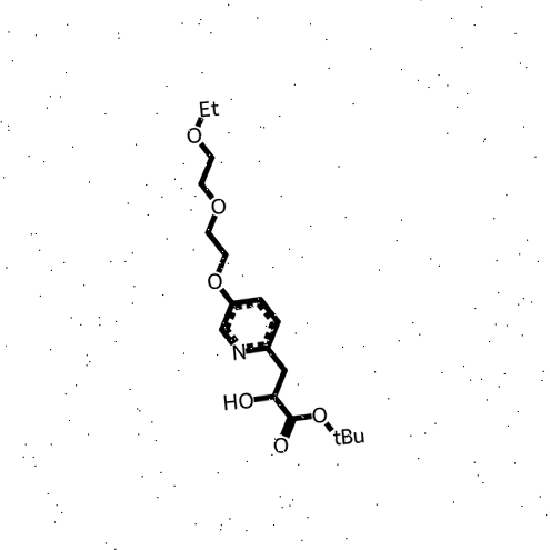 CCOCCOCCOc1ccc(CC(O)C(=O)OC(C)(C)C)nc1